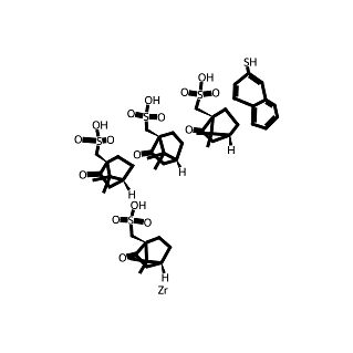 CC1(C)[C@@H]2CC[C@@]1(CS(=O)(=O)O)C(=O)C2.CC1(C)[C@@H]2CC[C@@]1(CS(=O)(=O)O)C(=O)C2.CC1(C)[C@@H]2CC[C@@]1(CS(=O)(=O)O)C(=O)C2.CC1(C)[C@@H]2CC[C@@]1(CS(=O)(=O)O)C(=O)C2.Sc1ccc2ccccc2c1.[Zr]